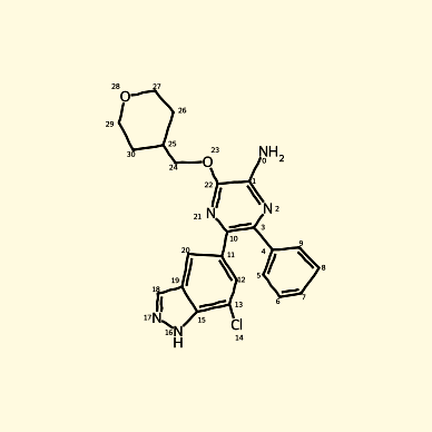 Nc1nc(-c2ccccc2)c(-c2cc(Cl)c3[nH]ncc3c2)nc1OCC1CCOCC1